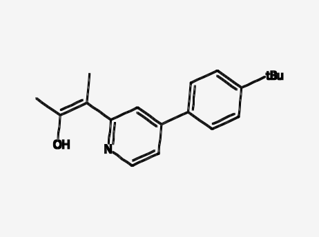 C/C(O)=C(\C)c1cc(-c2ccc(C(C)(C)C)cc2)ccn1